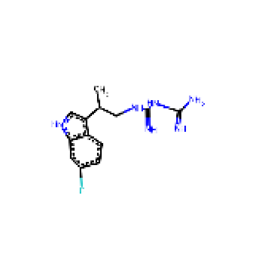 CC(CNC(=N)NC(=N)N)c1c[nH]c2cc(F)ccc12